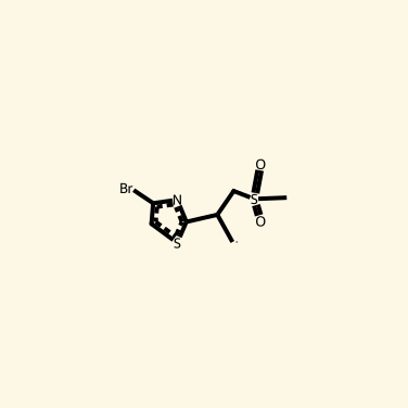 [CH2]C(CS(C)(=O)=O)c1nc(Br)cs1